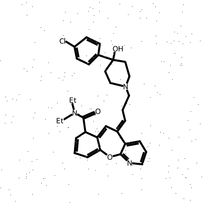 CCN(CC)C(=O)C1C=CC=C2Oc3ncccc3C(=CCCN3CCC(O)(c4ccc(Cl)cc4)CC3)C=C21